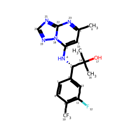 Cc1cc(N[C@@H](c2ccc(C(F)(F)F)c(F)c2)C(C)(C)O)n2ncnc2n1